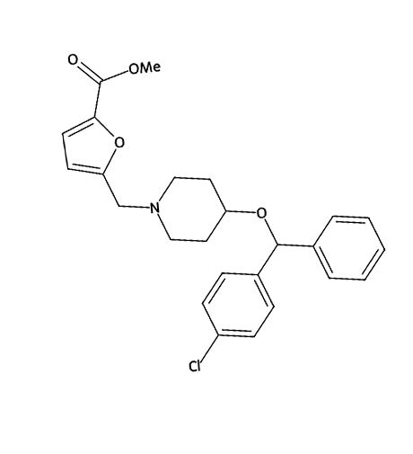 COC(=O)c1ccc(CN2CCC(OC(c3ccccc3)c3ccc(Cl)cc3)CC2)o1